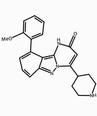 COc1ccccc1-c1cccc2nn3c(C4CCNCC4)cc(=O)[nH]c3c12